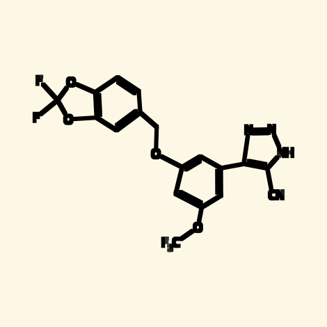 N#Cc1[nH]nnc1-c1cc(OCc2ccc3c(c2)OC(F)(F)O3)cc(OC(F)(F)F)c1